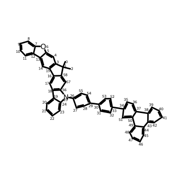 CC1(C)c2cc3oc4ccccc4c3cc2-c2cc3c4ccccc4n(-c4ccc(-c5ccc(-c6ccc7c8ccccc8c8ccccc8c7c6)cc5)cc4)c3cc21